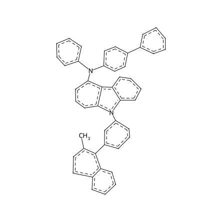 Cc1ccc2ccccc2c1-c1cccc(-n2c3ccccc3c3c(N(c4ccccc4)c4ccc(-c5ccccc5)cc4)cccc32)c1